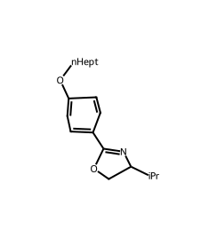 CCCCCCCOc1ccc(C2=NC(C(C)C)CO2)cc1